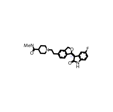 CNC(=O)C1CCN(CCc2ccc3c(c2)CO/C3=C2/C(=O)Nc3ccc(F)cc32)CC1